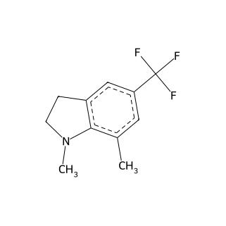 Cc1cc(C(F)(F)F)cc2c1N(C)CC2